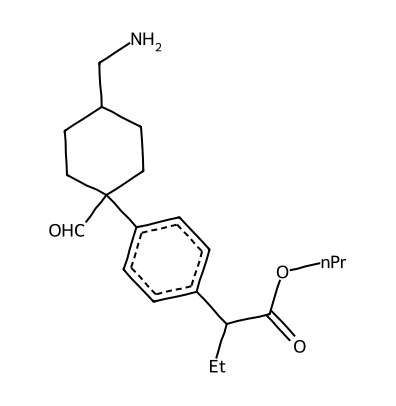 CCCOC(=O)C(CC)c1ccc(C2(C=O)CCC(CN)CC2)cc1